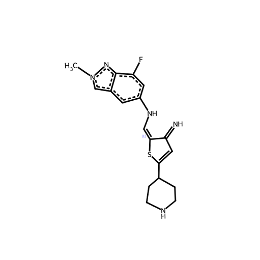 Cn1cc2cc(N/C=C3/SC(C4CCNCC4)=CC3=N)cc(F)c2n1